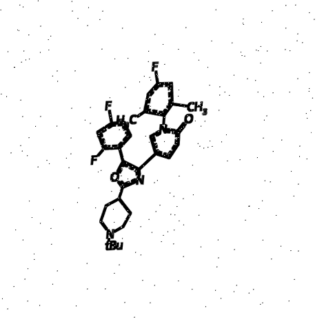 Cc1cc(F)cc(C)c1-n1cc(-c2nc(C3CCN(C(C)(C)C)CC3)oc2-c2ccc(F)cc2F)ccc1=O